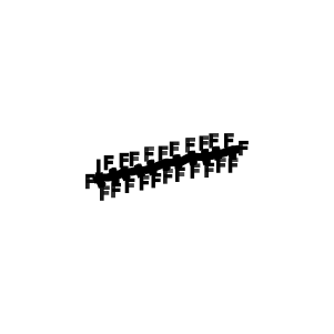 FC(F)(F)C(F)(F)C(F)(F)C(F)(F)C(F)(F)C(F)(F)C(F)(F)C(F)(F)C(F)(F)C(F)(F)C(F)(F)I